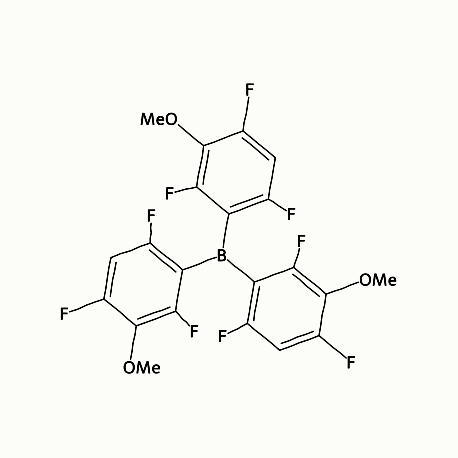 COc1c(F)cc(F)c(B(c2c(F)cc(F)c(OC)c2F)c2c(F)cc(F)c(OC)c2F)c1F